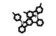 Cc1ccc(-n2c3ccccc3c3cc(-c4ccccc4-n4c5ccc(C)cc5c5cc(C)ccc54)ccc32)cc1